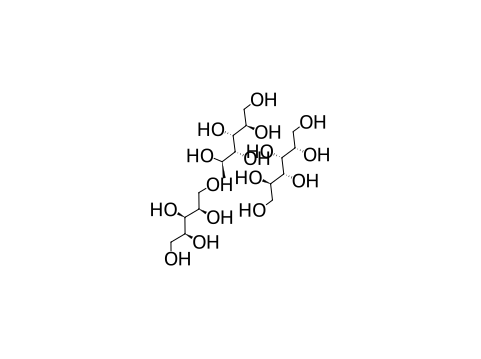 C[C@@H](O)[C@@H](O)[C@H](O)[C@H](O)CO.OC[C@@H](O)[C@@H](O)[C@H](O)[C@@H](O)CO.OC[C@@H](O)[C@H](O)[C@@H](O)CO